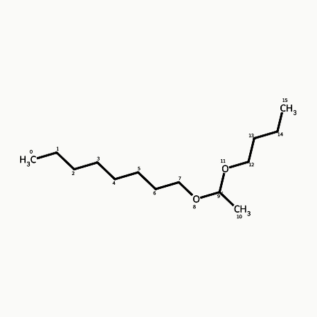 CCCCCCCCO[C](C)OCCCC